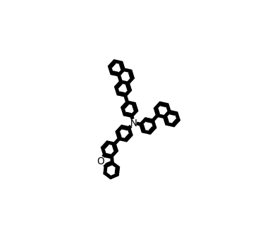 C1=Cc2c(oc3ccc(-c4ccc(N(c5ccc(-c6ccc7c(ccc8ccccc87)c6)cc5)c5cccc(-c6cccc7ccccc67)c5)cc4)cc23)CC1